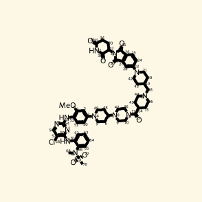 COc1cc(N2CCC(N3CCN(C(=O)C4CCN(CC5CCN(c6ccc7c(c6)C(=O)N(C6CCC(=O)NC6=O)C7=O)CC5)CC4)CC3)CC2)ccc1Nc1ncc(Cl)c(Nc2ccccc2N(C)S(C)(=O)=O)n1